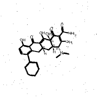 CN(C)[C@H]1C(O)=C(C(N)=O)C(=O)[C@@]2(O)C(O)=C3C(=O)c4c(O)ccc(C5CCCCC5)c4C[C@H]3C[C@@H]12